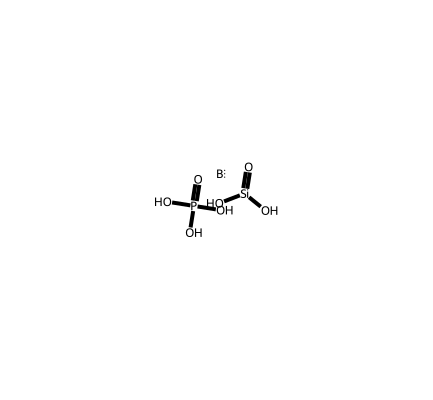 O=P(O)(O)O.O=[Si](O)O.[B]